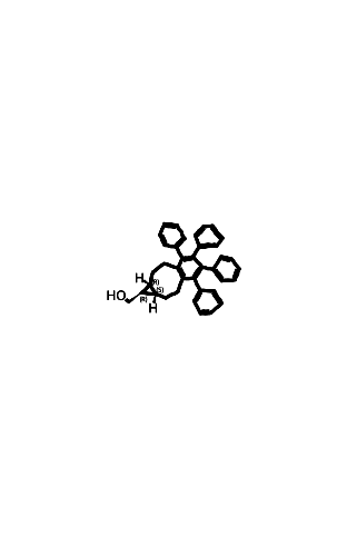 OC[C@@H]1[C@H]2CCc3c(c(-c4ccccc4)c(-c4ccccc4)c(-c4ccccc4)c3-c3ccccc3)CC[C@@H]12